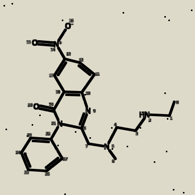 CCNCCN(C)Cc1nc2ccc([N+](=O)[O-])cc2c(=O)n1-c1ccccc1